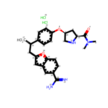 CN(C)C(=O)[C@@H]1C[C@H](Oc2ccc(C(Cc3cc4cc(C(=N)N)ccc4o3)C(=O)O)cc2)CN1.Cl.Cl